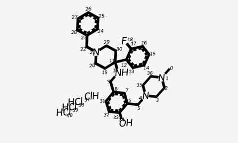 CN1CCN(Cc2cc(CNC3(c4ccccc4F)CCN(Cc4ccccc4)CC3)ccc2O)CC1.Cl.Cl.Cl.Cl